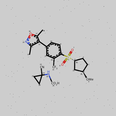 CO[C@@H]1CC[C@@H](S(=O)(=O)c2ccc(-c3c(C)noc3C)cc2C(F)(F)F)C1.N#CC1(NC(=O)O)CC1